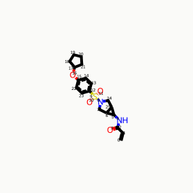 C=CC(=O)NC1C2CN(S(=O)(=O)c3ccc(OC4CCCC4)cc3)CC21